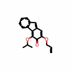 C=CCOC1=CC2=Cc3ccccc3C2=C(OC(C)C)C1=O